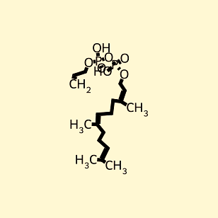 C=CCOP(=O)(O)OP(=O)(O)OCC=C(C)CCC=C(C)CCC=C(C)C